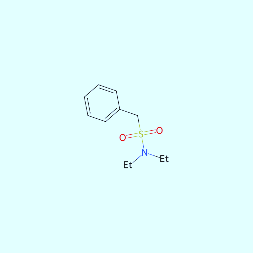 CCN(CC)S(=O)(=O)Cc1ccccc1